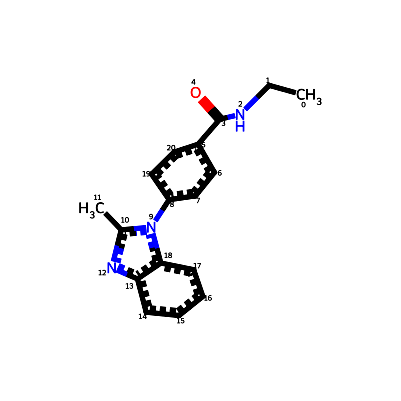 CCNC(=O)c1ccc(-n2c(C)nc3ccccc32)cc1